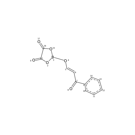 O=C1OB(OC=CC(=O)c2ccccc2)OC1=O